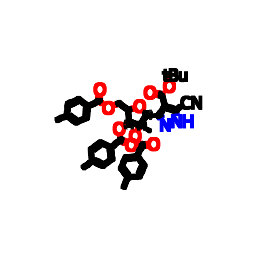 Cc1ccc(C(=O)OCC2O[C@@H](c3n[nH]c(C#N)c3C(=O)OC(C)(C)C)[C@](C)(OC(=O)c3ccc(C)cc3)[C@@H]2OC(=O)c2ccc(C)cc2)cc1